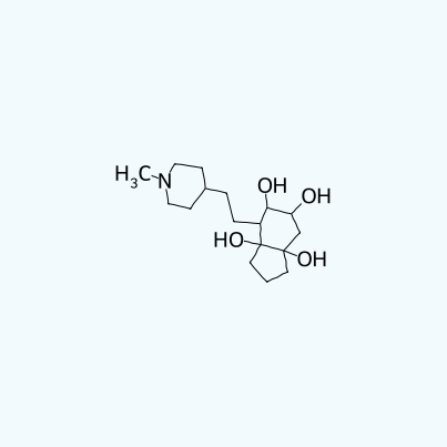 CN1CCC(CCC2C(O)C(O)CC3(O)CCCC23O)CC1